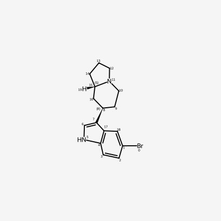 Brc1ccc2[nH]cc([C@@H]3CCN4CCC[C@H]4C3)c2c1